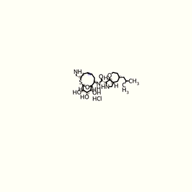 CC(C)C[C@@H]1CCO[C@@H]2[C@H](CN[C@@H]2C(=O)N[C@@H]2C/C=C\C[C@@H](CN)S[C@H]3O[C@H]2[C@H](O)[C@H](O)[C@H]3O)C1.Cl